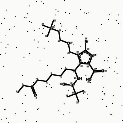 CCC(=O)CCCCCC(N[S@+]([O-])C(C)(C)C)c1c(C(=O)O)nc(Br)n1COCC[Si](C)(C)C